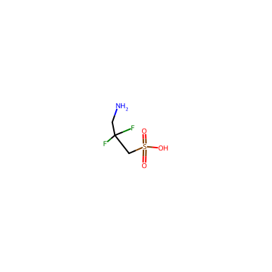 NCC(F)(F)CS(=O)(=O)O